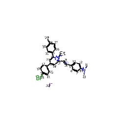 CC[n+]1c(/C=C/c2ccc(N(C)C)cc2)cc(-c2ccc(Br)cc2)cc1-c1ccc(C)cc1.[I-]